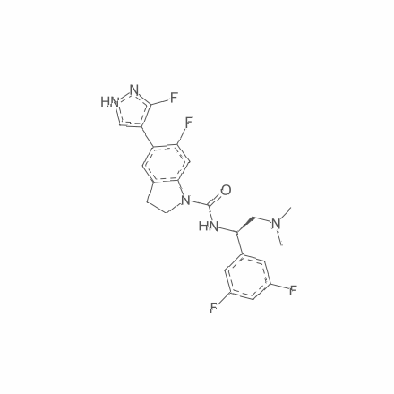 CN(C)C[C@H](NC(=O)N1CCc2cc(-c3c[nH]nc3F)c(F)cc21)c1cc(F)cc(F)c1